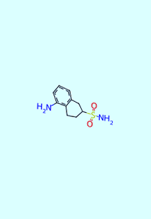 Nc1cccc2c1CCC(S(N)(=O)=O)C2